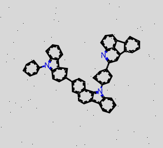 c1ccc(-n2c3ccccc3c3cc(-c4ccc5c(ccc6c7ccccc7n(-c7ccc(-c8cc9c%10c(cccc%10n8)-c8ccccc8-9)cc7)c56)c4)ccc32)cc1